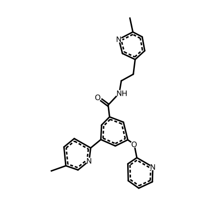 Cc1ccc(-c2cc(Oc3ccccn3)cc(C(=O)NCCc3ccc(C)nc3)c2)nc1